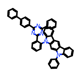 c1ccc(-c2ccc(-c3nc(-c4ccccc4)nc(-c4ccccc4-n4c5ccccc5c5cc6c7ccccc7n(-c7ccccc7)c6cc54)n3)cc2)cc1